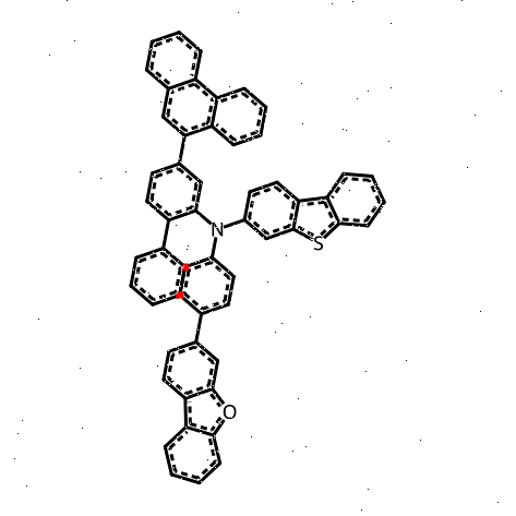 c1ccc(-c2ccc(-c3cc4ccccc4c4ccccc34)cc2N(c2ccc(-c3ccc4c(c3)oc3ccccc34)cc2)c2ccc3c(c2)sc2ccccc23)cc1